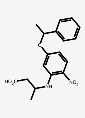 CC(CC(=O)O)Nc1cc(OC(C)c2ccccc2)ccc1[N+](=O)[O-]